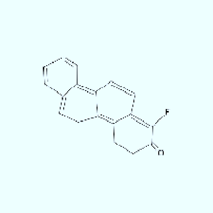 O=C1CCc2c3c(ccc2=C1F)=c1ccccc1=CC3